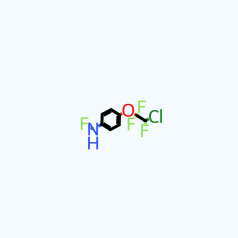 FNc1ccc(OC(F)(F)C(F)Cl)cc1